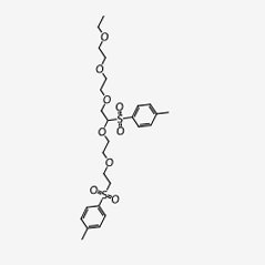 CCOCCOCCOCC(OCCOCCS(=O)(=O)c1ccc(C)cc1)S(=O)(=O)c1ccc(C)cc1